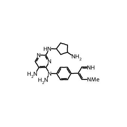 CN/C=C(\C=N)c1ccc(N(N)c2nc(NC3CCC(N)C3)ncc2N)cc1